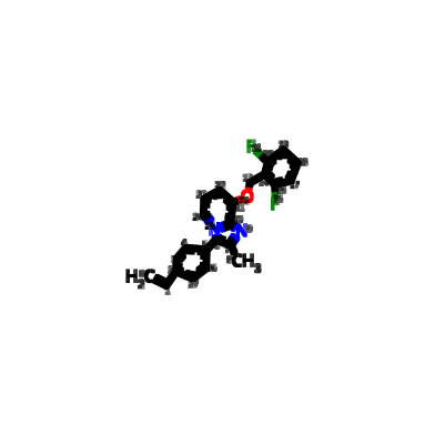 C=Cc1ccc(-c2c(C)nc3c(OCc4c(F)cccc4F)cccn23)cc1